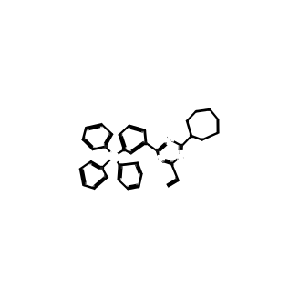 C=Cc1nc(-c2cccc(S(c3ccccc3)(c3ccccc3)c3ccccc3)c2)nc(C2CCCCCC2)n1